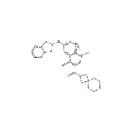 C=c1/c(=C\C(=N/C)OC2Cc3ccccc3C2)c(=O)c(C(=O)N2CC3(CCOCC3)C2)cn1CC